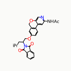 CC(=O)Nc1cc2c(cn1)OCc1cc(OCC(CC(C)C)N3C(=O)c4ccccc4C3=O)ccc1-2